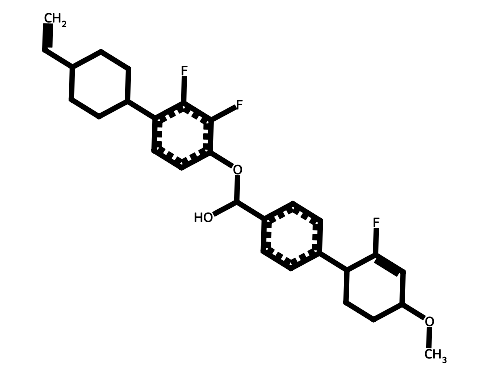 C=CC1CCC(c2ccc(OC(O)c3ccc(C4CCC(OC)C=C4F)cc3)c(F)c2F)CC1